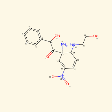 NC1(C(=O)C(O)c2ccccc2)C=C([N+](=O)[O-])C=CC1NCCO